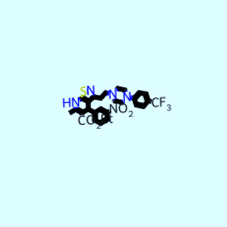 CCOC(=O)C1=C(C)Nc2snc(CCN3CCN(c4ccc(C(F)(F)F)cc4)CC3)c2C1c1cccc([N+](=O)[O-])c1